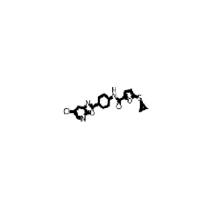 O=C(NC1CCC(c2nc3cc(Cl)cnc3o2)CC1)c1ccc(SC2CC2)o1